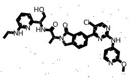 CCNc1cccc(C(CO)NC(=O)C(C)N2Cc3ccc(-c4nc(Nc5ccnc(OC)c5)ncc4Cl)cc3C2=O)n1